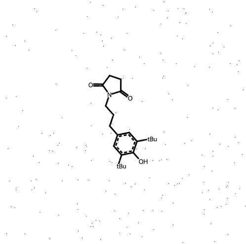 CC(C)(C)c1cc(CCCN2C(=O)CCC2=O)cc(C(C)(C)C)c1O